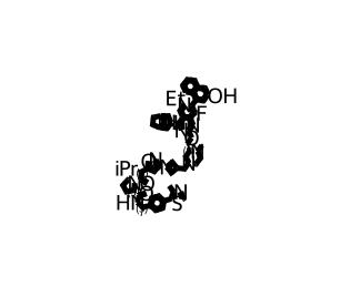 CCc1cccc2cc(O)cc(-c3ncc4c(N5CC6CCC(C5)N6)nc(OC[C@@H]5CN(CC6CN(c7cc([C@@H](C(=O)N8CCC[C@H]8C(=O)N[C@@H](C)c8ccc(-c9scnc9C)cc8)C(C)C)on7)C6)CCN5C)nc4c3F)c12